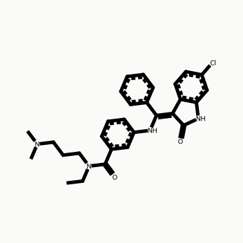 CCN(CCCN(C)C)C(=O)c1cccc(N/C(=C2\C(=O)Nc3cc(Cl)ccc32)c2ccccc2)c1